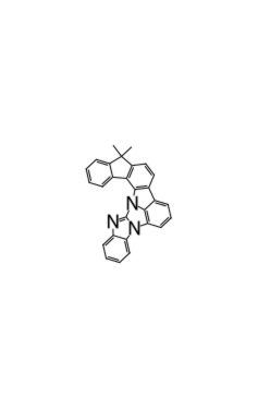 CC1(C)c2ccccc2-c2c1ccc1c3cccc4c3n(c21)c1nc2ccccc2n41